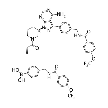 C=CC(=O)N1CCC[C@@H](n2nc(-c3ccc(CNC(=O)c4ccc(OC(F)(F)F)cc4)cc3)c3c(N)ncnc32)C1.O=C(NCc1ccc(B(O)O)cc1)c1ccc(OC(F)(F)F)cc1